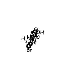 CC1(C)S[C@H]2N(C(=O)[C@]2(C)NC(=O)C(N)c2cc3ccc(Br)cc3cc2Br)[C@H]1C(=O)O